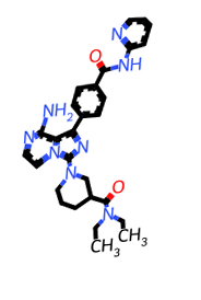 CCN(CC)C(=O)C1CCCN(c2nc(-c3ccc(C(=O)Nc4ccccn4)cc3)c3c(N)nccn23)C1